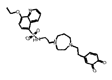 CCOc1ccc(S(=O)(=O)NCCN2CCCN(CCC3=CC(=O)C(=O)C=C3)CC2)c2cccnc12